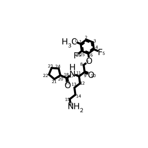 Cc1ccc(F)c(OCC(=O)C(CCCCN)NC(=O)C2CCCC2)c1F